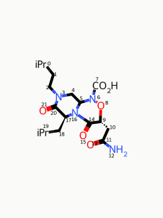 CC(C)CCN1CC2N(C(=O)O)O[C@H](CC(N)=O)C(=O)N2[C@@H](CC(C)C)C1=O